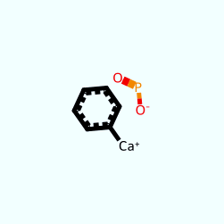 O=P[O-].[Ca+][c]1ccccc1